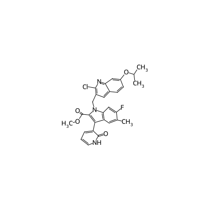 COC(=O)c1c(-c2ccc[nH]c2=O)c2cc(C)c(F)cc2n1Cc1cc2ccc(OC(C)C)cc2nc1Cl